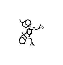 CCC1CC[C@@]2(c3cc(C4(C)CC5CCCC(C5)C4)c(OCC4CO4)cc3OCC3CO3)CCCC1C2